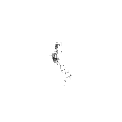 CC(C)(O)c1cc(-c2ccc(C3=NO[C@@H](C[C@](C)(C(=O)OB=N)S(C)(=O)=O)C3)cc2)ccn1